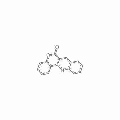 O=c1oc2ccccc2c2nc3ccccc3cc12